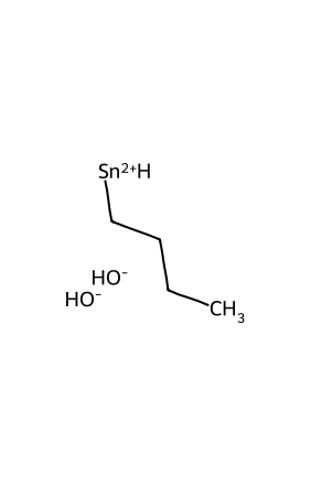 CCC[CH2][SnH+2].[OH-].[OH-]